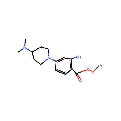 CN(C)C1CCN(c2ccc(C(=O)OOC(C)(C)C)c(N)c2)CC1